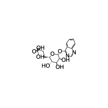 O=P(O)(O)CC[C@H]1OC(Oc2ncnc3ccccc23)[C@@H](O)[C@@H](O)[C@@H]1O